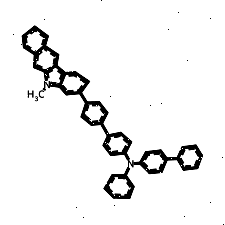 Cn1c2cc(-c3ccc(-c4ccc(N(c5ccccc5)c5ccc(-c6ccccc6)cc5)cc4)cc3)ccc2c2cc3ccccc3cc21